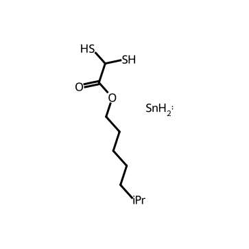 CC(C)CCCCCOC(=O)C(S)S.[SnH2]